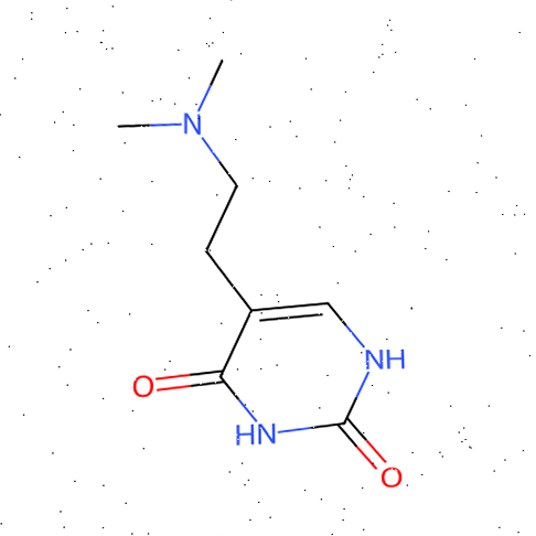 CN(C)CCc1c[nH]c(=O)[nH]c1=O